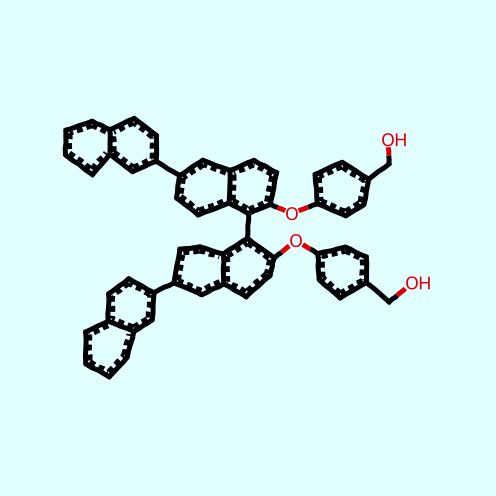 OCc1ccc(Oc2ccc3cc(-c4ccc5ccccc5c4)ccc3c2-c2c(Oc3ccc(CO)cc3)ccc3cc(-c4ccc5ccccc5c4)ccc23)cc1